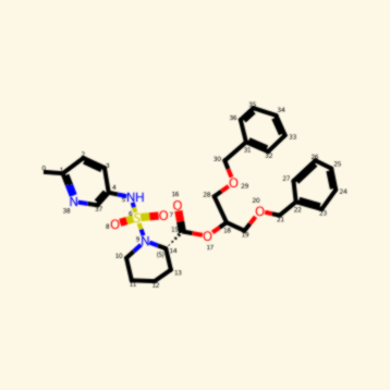 Cc1ccc(NS(=O)(=O)N2CCCC[C@H]2C(=O)OC(COCc2ccccc2)COCc2ccccc2)cn1